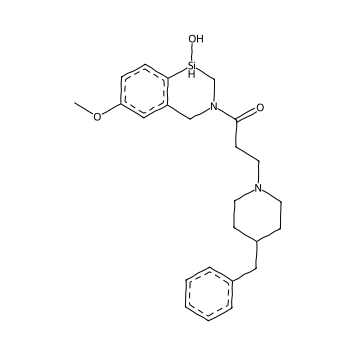 COc1ccc2c(c1)CN(C(=O)CCN1CCC(Cc3ccccc3)CC1)C[SiH]2O